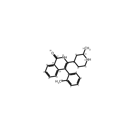 Cc1ccccc1-c1c(C2CCNC(C)C2)[nH]c(=O)c2ccccc12